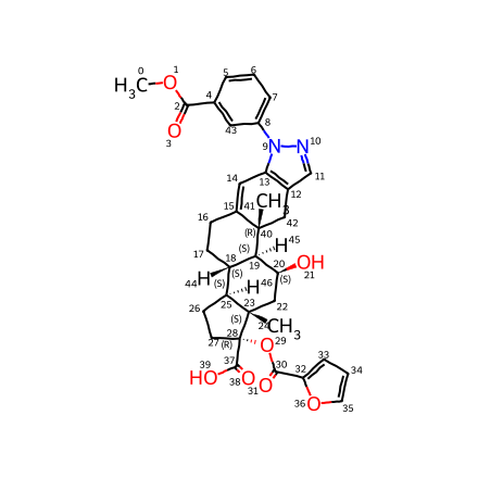 COC(=O)c1cccc(-n2ncc3c2C=C2CC[C@@H]4[C@H]([C@@H](O)C[C@@]5(C)[C@H]4CC[C@]5(OC(=O)c4ccco4)C(=O)O)[C@@]2(C)C3)c1